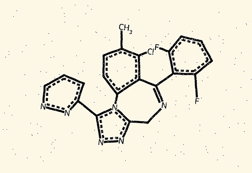 Cc1ccc2c(c1Cl)C(c1c(F)cccc1F)=NCc1nnc(-c3cccnn3)n1-2